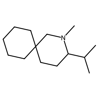 CC(C)C1CCC2(CCCCC2)CN1C